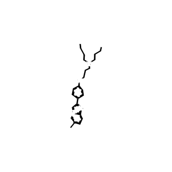 CCCCN(CCCC)CCCOc1ccc(-c2cn3cc(C)ccc3n2)cc1